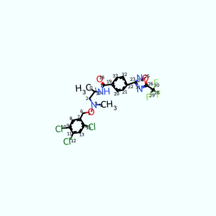 CC(CN(C)OCc1cc(Cl)c(Cl)cc1Cl)NC(=O)c1ccc(-c2noc(C(F)(F)F)n2)cc1